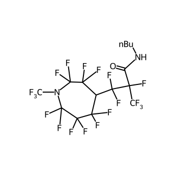 CCCCNC(=O)C(F)(C(F)(F)F)C(F)(F)C1C(F)(F)C(F)(F)N(C(F)(F)F)C(F)(F)C(F)(F)C1(F)F